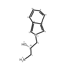 NC[C@H](O)Cn1cc2ccccc2c1